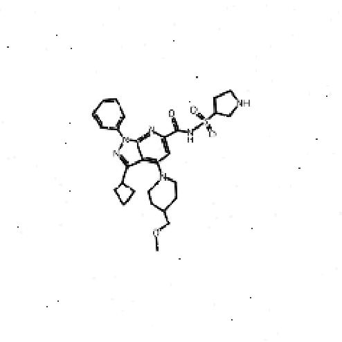 COCC1CCN(c2cc(C(=O)NS(=O)(=O)C3CCNC3)nc3c2c(C2CCC2)nn3-c2ccccc2)CC1